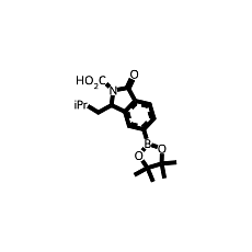 CC(C)CC1c2cc(B3OC(C)(C)C(C)(C)O3)ccc2C(=O)N1C(=O)O